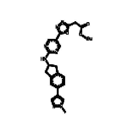 Cn1cc(-c2ccc3c(c2)CC(Nc2ncc(-c4nnc(CC(=O)OC(C)(C)C)o4)cn2)C3)cn1